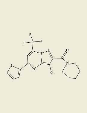 O=C(c1nn2c(C(F)(F)F)cc(-c3cccs3)nc2c1Cl)N1CCCCC1